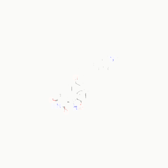 CC(CCCC1CCN(C)CC1)CCOc1ccc2c(ccc3onc(C4CCC(=O)NC4=O)c32)c1